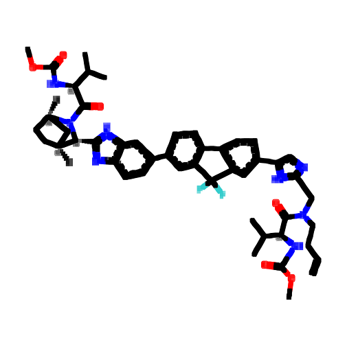 C=CCCN(Cc1ncc(-c2ccc3c(c2)C(F)(F)c2cc(-c4ccc5nc([C@@H]6[C@H]7CC[C@H](C7)N6C(=O)[C@@H](NC(=O)OC)C(C)C)[nH]c5c4)ccc2-3)[nH]1)C(=O)[C@@H](NC(=O)OC)C(C)C